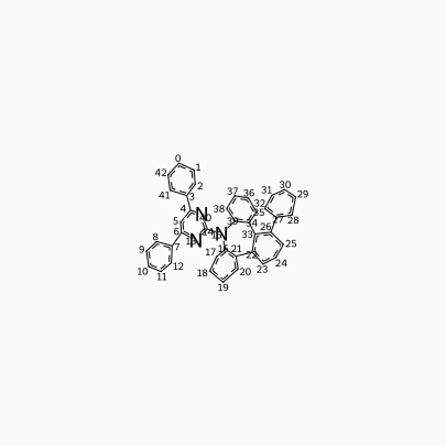 c1ccc(-c2cc(-c3ccccc3)nc(N3c4ccccc4-c4cccc(-c5ccccc5)c4-c4ccccc43)n2)cc1